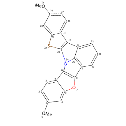 COc1ccc2c(c1)oc1c3cccc4c5c6ccc(OC)cc6sc5n(c34)c21